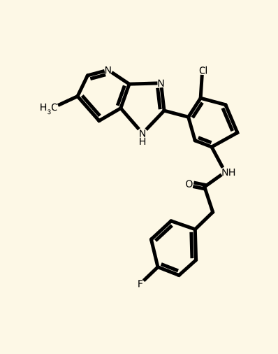 Cc1cnc2nc(-c3cc(NC(=O)Cc4ccc(F)cc4)ccc3Cl)[nH]c2c1